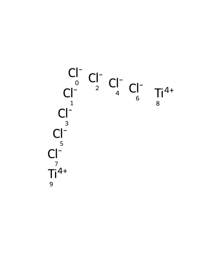 [Cl-].[Cl-].[Cl-].[Cl-].[Cl-].[Cl-].[Cl-].[Cl-].[Ti+4].[Ti+4]